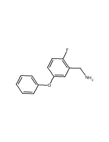 NCc1cc(Oc2ccccc2)ccc1F